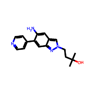 CC(C)(O)CCn1cc2cc(N)c(-c3ccncc3)cc2n1